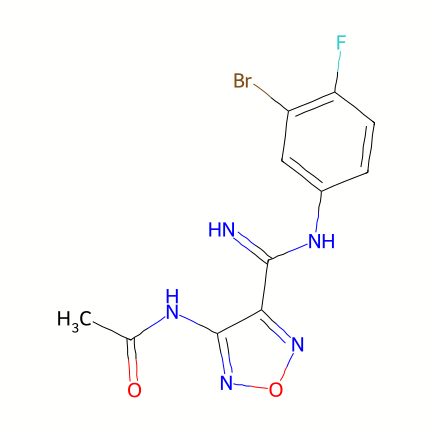 CC(=O)Nc1nonc1C(=N)Nc1ccc(F)c(Br)c1